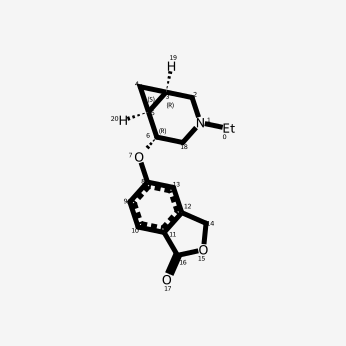 CCN1C[C@@H]2C[C@@H]2[C@@H](Oc2ccc3c(c2)COC3=O)C1